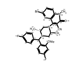 COc1cc(F)ccc1C(c1ccc(F)cc1)N1C[C@H](C)N(c2c(C#N)c(=O)n(C)c3ccc(Br)nc23)C[C@H]1C